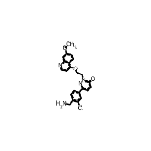 COc1ccc2c(OCCn3nc(-c4ccc(CN)c(Cl)c4)ccc3=O)ccnc2c1